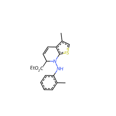 CCOC(=O)C1C=Cc2c(C)csc2N1Nc1ccccc1C